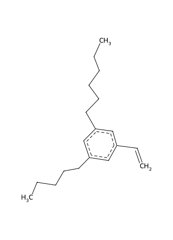 C=Cc1cc(CCCCC)cc(CCCCCC)c1